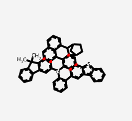 CC1(C)c2ccccc2-c2cc(N(c3ccccc3-c3ccc4sc5ccccc5c4c3)c3ccccc3-c3cccc4cccc(C5CC6CCC5C6)c34)ccc21